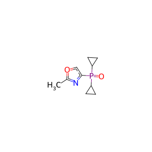 Cc1nc(P(=O)(C2CC2)C2CC2)co1